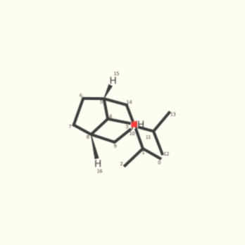 CC(C)NC1[C@@H]2CC[C@H]1CN(C(C)C)C2